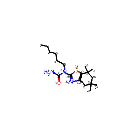 CCCCCCN(C(N)=O)c1nc2c(s1)C(C)(C)CC(C)(C)C2